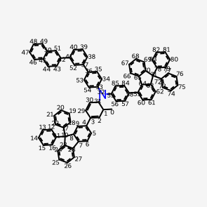 CC1C=C(c2ccc3c(c2)C(c2ccccc2)(c2ccccc2)c2ccccc2-3)C=CC1N(c1ccc(-c2cccc(-c3ccc4ccccc4c3)c2)cc1)c1ccc(-c2cccc3c2-c2ccccc2C3(c2ccccc2)c2ccccc2)cc1